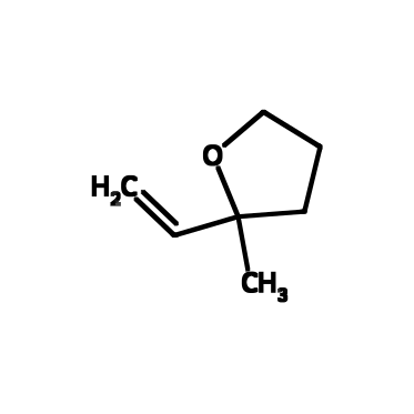 C=CC1(C)CCCO1